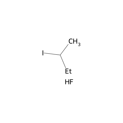 CCC(C)I.F